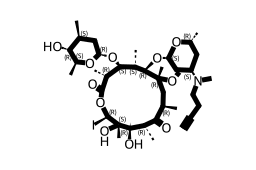 C#CCCN(C)[C@@H]1C[C@H](O[C@@H]2[C@@H](C)[C@H](O[C@H]3C[C@H](C)[C@@H](O)[C@H](C)O3)[C@@H](C)C(=O)O[C@H](I)[C@@](C)(O)[C@H](O)[C@@H](C)C(=O)[C@H](C)C[C@@]2(C)OC)O[C@H](C)C1